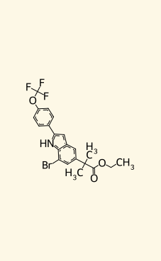 CCOC(=O)C(C)(C)c1cc(Br)c2[nH]c(-c3ccc(OC(F)(F)F)cc3)cc2c1